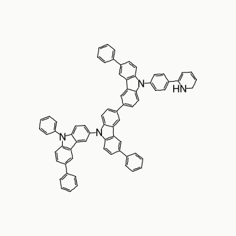 C1=CCNC(c2ccc(-n3c4ccc(-c5ccccc5)cc4c4cc(-c5ccc6c(c5)c5cc(-c7ccccc7)ccc5n6-c5ccc6c(c5)c5cc(-c7ccccc7)ccc5n6-c5ccccc5)ccc43)cc2)=C1